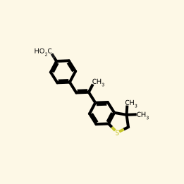 C/C(=C\c1ccc(C(=O)O)cc1)c1ccc2c(c1)C(C)(C)CS2